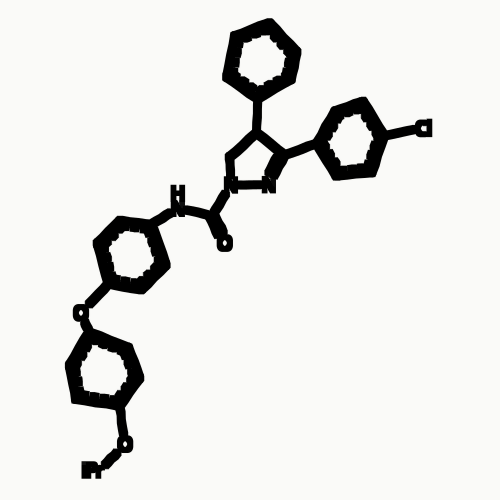 CC(C)Oc1ccc(Oc2ccc(NC(=O)N3CC(c4ccccc4)C(c4ccc(Cl)cc4)=N3)cc2)cc1